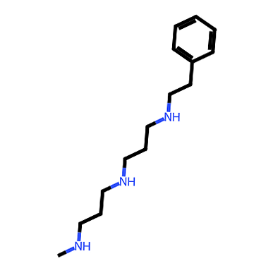 CNCCCNCCCNCCc1ccccc1